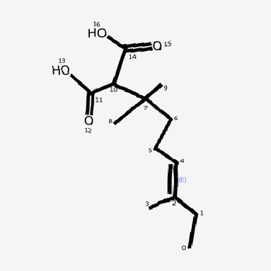 CC/C(C)=C/CCC(C)(C)C(C(=O)O)C(=O)O